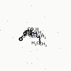 CCOP(=O)(OCC)C(C/C=C(\C)CC/C=C(\C)CCC=C(C)C)C(=O)N[C@@H](Cc1ccc(OCc2ccccc2)cc1)C(=O)O